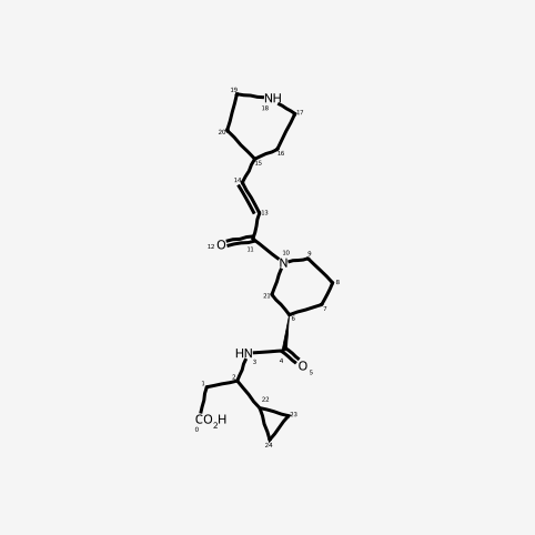 O=C(O)CC(NC(=O)[C@@H]1CCCN(C(=O)/C=C/C2CCNCC2)C1)C1CC1